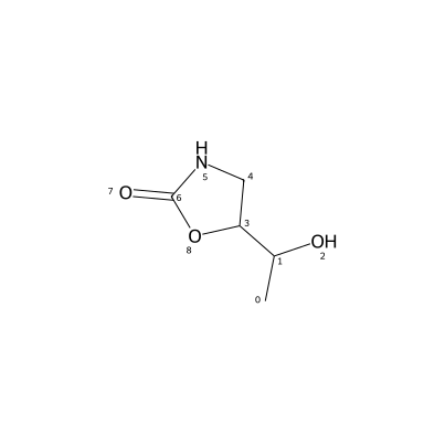 CC(O)C1CNC(=O)O1